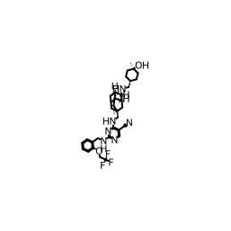 C[C@]1(O)CC[C@@H](CN[C@@H]2[C@@H]3CC4C[C@H]2C[C@@](CNc2nc(NCc5ccccc5OCC(F)(F)F)ncc2C#N)(C4)C3)CC1